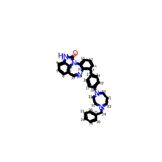 O=c1[nH]c2cccc3c2n1-c1cccc(-c2ccc(N4CCCN(Cc5ccccc5)CC4)cc2)c1N=C3